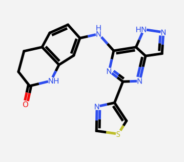 O=C1CCc2ccc(Nc3nc(-c4cscn4)nc4cn[nH]c34)cc2N1